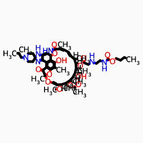 CCCCOC(=O)NCCNCC(=O)O[C@@H]1[C@@H](C)[C@@H](O)[C@@H](C)[C@H](OC(C)=O)[C@H](C)[C@@H](OC)/C=C/O[C@@]2(C)Oc3c(C)c(O)c4c(c3C2=O)C2=NC3(CCN(CC(C)C)CC3)NC2=C(NC(=O)/C(C)=C\C=C\[C@@H]1C)C4=O